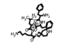 CC(C)CC(NC(=O)C(Cc1ccccc1)NC(=O)C(N)Cc1ccccc1)C(=O)NC(CCCCN)C(=O)N1CC2(CCNCC2)C1